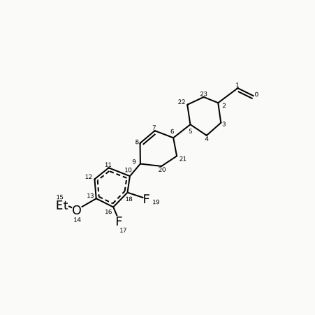 C=CC1CCC(C2C=CC(c3ccc(OCC)c(F)c3F)CC2)CC1